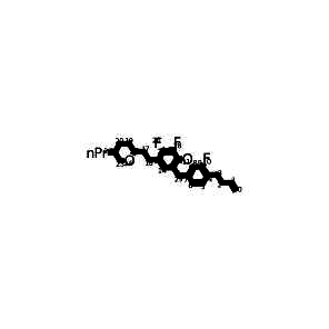 C=CCCc1ccc2c(c1F)Oc1c(cc(CCC3CCC(CCC)CO3)c(F)c1F)C2